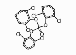 O=P(Oc1c(Cl)cccc1Cl)(Oc1c(Cl)cccc1Cl)Oc1c(Cl)cccc1Cl